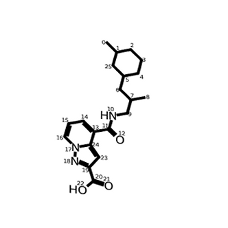 CC1CCCC(CC(C)CNC(=O)c2cccn3nc(C(=O)O)cc23)C1